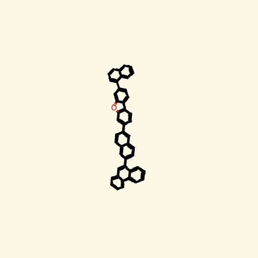 c1ccc2c(-c3ccc4c(c3)oc3cc(-c5ccc6cc(-c7cc8ccccc8c8ccccc78)ccc6c5)ccc34)cccc2c1